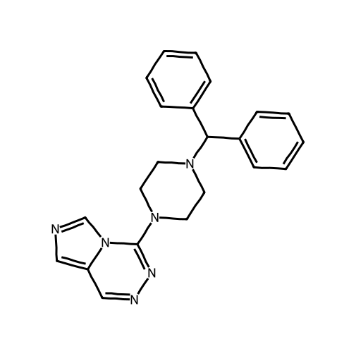 c1ccc(C(c2ccccc2)N2CCN(c3nncc4cncn34)CC2)cc1